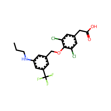 CCCNc1cc(COc2c(Cl)cc(CC(=O)O)cc2Cl)cc(C(F)(F)F)c1